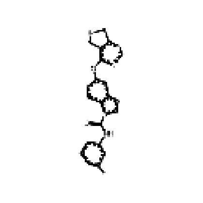 Cc1cccc(NC(=O)n2ccc3cc(Oc4ncnc5c4CNC5)ccc32)c1